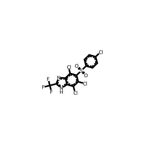 O=S(=O)(c1ccc(Cl)cc1)c1c(Cl)c(Cl)c2[nH]c(C(F)(F)F)nc2c1Cl